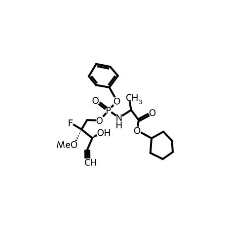 C#C[C@H](O)[C@@](F)(COP(=O)(NC(C)C(=O)OC1CCCCC1)Oc1ccccc1)OC